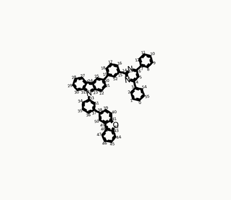 c1ccc(-c2cc(-c3ccccc3)nc(-c3cccc(-c4ccc5c(c4)c4ccccc4n5-c4cccc(-c5ccc6oc7ccccc7c6c5)c4)c3)n2)cc1